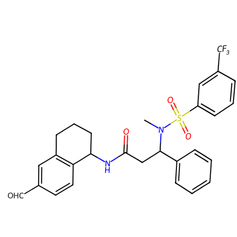 CN(C(CC(=O)NC1CCCc2cc(C=O)ccc21)c1ccccc1)S(=O)(=O)c1cccc(C(F)(F)F)c1